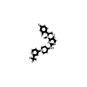 CN1c2nc(NC3CCN(c4ccnc(C(F)(F)F)c4)CC3)ncc2OCC1c1ccc(F)cc1F